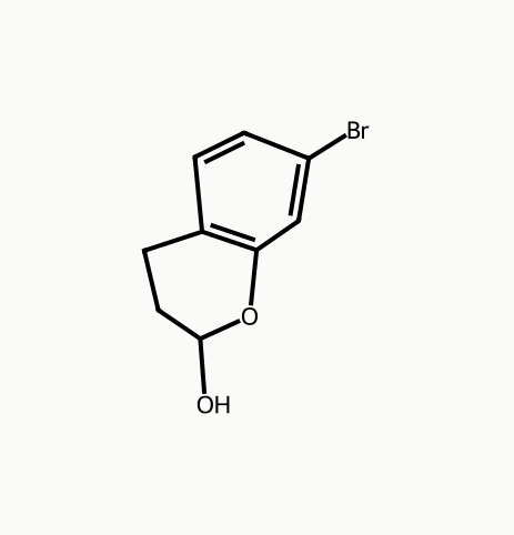 OC1CCc2ccc(Br)cc2O1